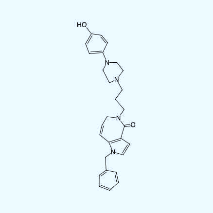 O=C1c2ccn(Cc3ccccc3)c2C=CCN1CCCN1CCN(c2ccc(O)cc2)CC1